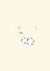 CC(C)(C)CNc1ccnc2[nH]cc(C=CC(N)=O)c12